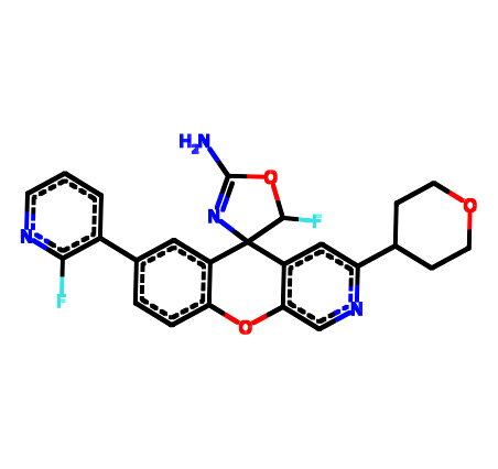 NC1=NC2(c3cc(-c4cccnc4F)ccc3Oc3cnc(C4CCOCC4)cc32)C(F)O1